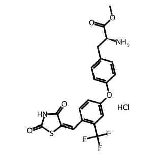 COC(=O)[C@@H](N)Cc1ccc(Oc2ccc(C=C3SC(=O)NC3=O)c(C(F)(F)F)c2)cc1.Cl